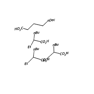 CCCCC(CC)C(=O)O.CCCCC(CC)C(=O)O.CCCCC(CC)C(=O)O.CCCCCCCCCCCCCC(=O)O